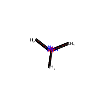 C=C=C=C=C=C=C=C=C=C=C=C=C=C=C=C=C=C=C=C=C=C=C=C=C=C=C=C=C=C=C=C=C=C=C=CNC(=O)c1cccc(C(=O)NC(=C=C=C=C=C=C=C=C=C=C=C=C=C=C=C=C=C=C=C=C=C=C=C=C=C=C=C=C=C=C=C=C=C=C=C)NC(=O)c2cccc(C(=O)NC(=C=C=C=C=C=C=C=C=C=C=C=C=C=C=C=C=C=C=C=C=C=C=C=C=C=C=C=C=C=C=C=C=C=C=C)NC(=O)c3cccc(C(N)=O)c3)c2)c1